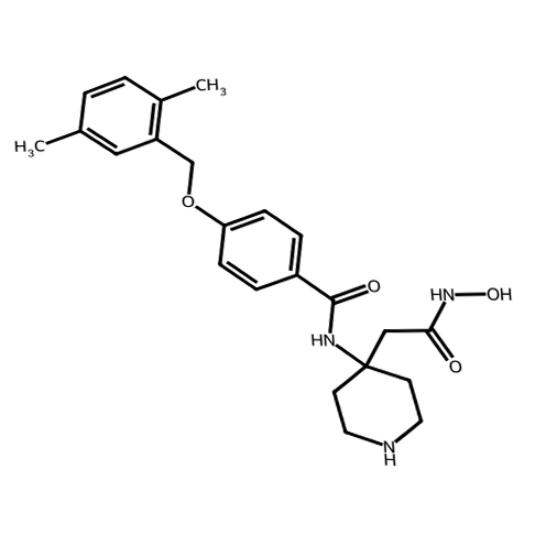 Cc1ccc(C)c(COc2ccc(C(=O)NC3(CC(=O)NO)CCNCC3)cc2)c1